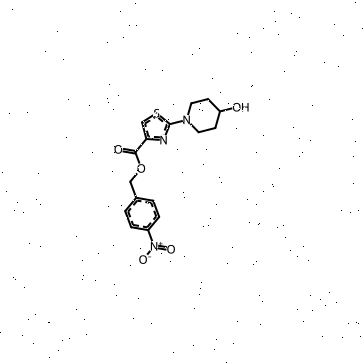 O=C(OCc1ccc([N+](=O)[O-])cc1)c1csc(N2CCC(O)CC2)n1